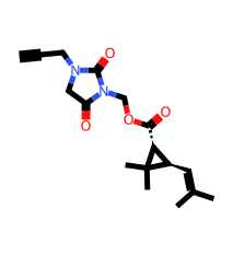 C#CCN1CC(=O)N(COC(=O)[C@@H]2[C@@H](C=C(C)C)C2(C)C)C1=O